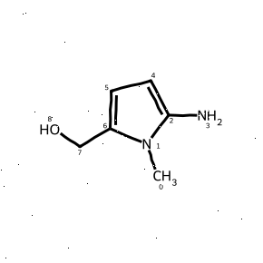 Cn1c(N)ccc1CO